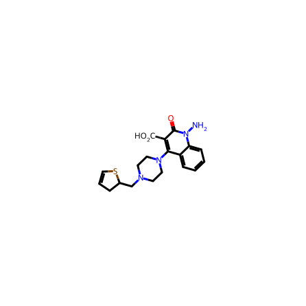 Nn1c(=O)c(C(=O)O)c(N2CCN(CC3CC=CS3)CC2)c2ccccc21